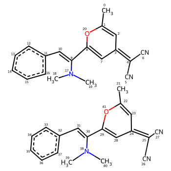 CC1=CC(=C(C#N)C#N)C=C(C(=Cc2ccccc2)N(C)C)O1.CC1=CC(=C(C#N)C#N)C=C(C(=Cc2ccccc2)N(C)C)O1